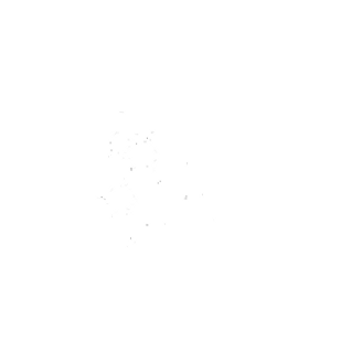 CCc1ccc2c(-c3cncc(C(N)=O)c3)c(CCCCC(=O)O)c(C)nn12